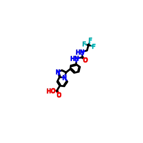 O=C(NCC(F)(F)F)Nc1cccc(C2CN=C3C=C(C(=O)O)C=CN32)c1